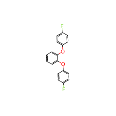 Fc1ccc(Oc2ccccc2Oc2ccc(F)cc2)cc1